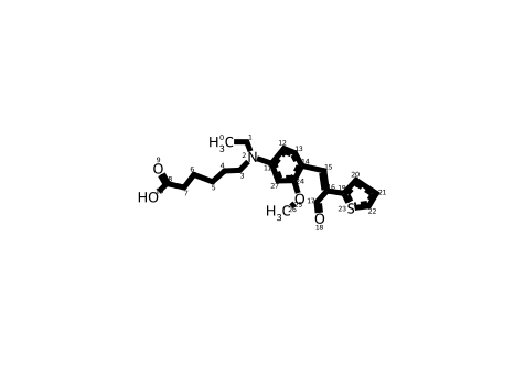 CCN(CCCCCC(=O)O)c1ccc(/C=C(\C=O)c2cccs2)c(OC)c1